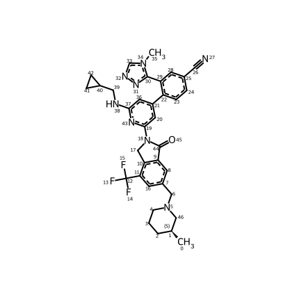 C[C@H]1CCCN(Cc2cc3c(c(C(F)(F)F)c2)CN(c2cc(-c4ccc(C#N)cc4-c4nncn4C)cc(NCC4CC4)n2)C3=O)C1